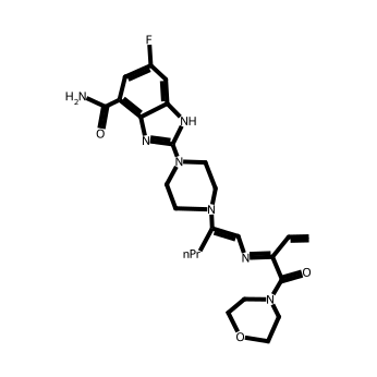 C=C/C(=N\C=C(/CCC)N1CCN(c2nc3c(C(N)=O)cc(F)cc3[nH]2)CC1)C(=O)N1CCOCC1